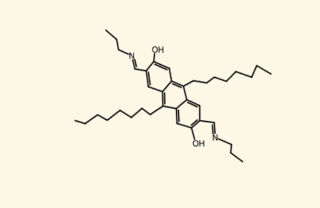 CCCCCCCCc1c2cc(O)c(C=NCCC)cc2c(CCCCCCCC)c2cc(O)c(C=NCCC)cc12